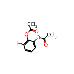 O=C(Oc1cccc(I)c1OC(=O)C(Cl)(Cl)Cl)C(Cl)(Cl)Cl